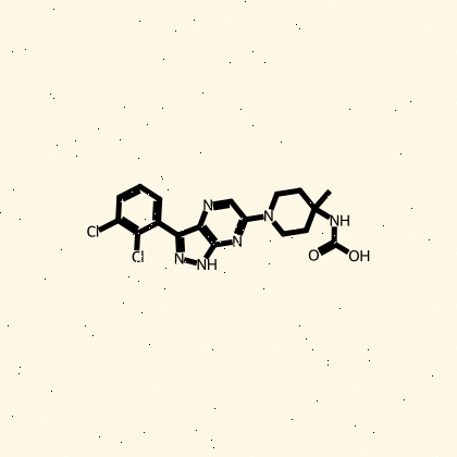 CC1(NC(=O)O)CCN(c2cnc3c(-c4cccc(Cl)c4Cl)n[nH]c3n2)CC1